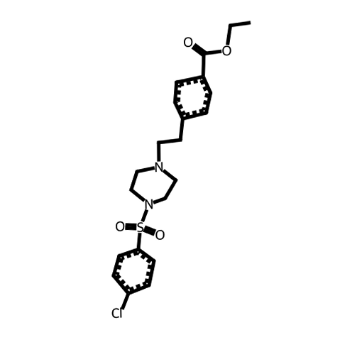 CCOC(=O)c1ccc(CCN2CCN(S(=O)(=O)c3ccc(Cl)cc3)CC2)cc1